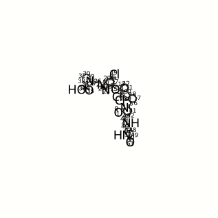 COc1nc(-c2cccc(-c3cccc(Oc4cc(Cl)cc5c4ncn5CCN4CCCCC4C(=O)O)c3Cl)c2Cl)ccc1CNC[C@@H]1CCC(=O)N1